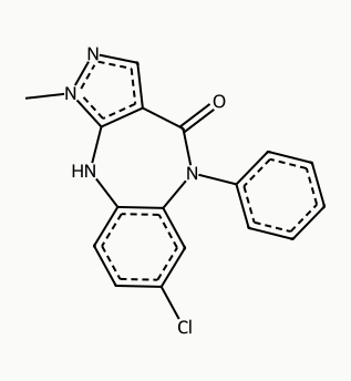 Cn1ncc2c1Nc1ccc(Cl)cc1N(c1ccccc1)C2=O